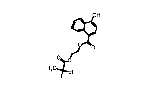 CCC(C)(I)C(=O)OCCOC(=O)c1ccc(O)c2ccccc12